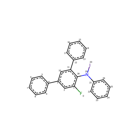 Fc1cc(-c2ccccc2)cc(-c2ccccc2)c1N(I)c1ccccc1